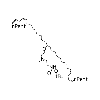 CCCCC/C=C\C/C=C\CCCCCCCCC(CCCCCCCC/C=C\C/C=C\CCCCC)OCCN(C)CCNC(=O)OC(C)(C)C